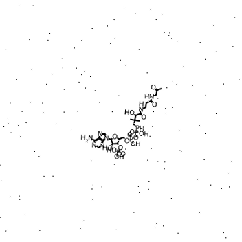 CC(=O)CNC(=O)CCNC(=O)C(O)C(C)(C)CPP(=O)(O)OP(=O)(O)OCC1OC(n2cnc3c(N)ncnc32)C(O)C1OP(=O)(O)O